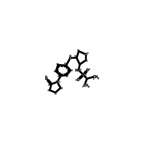 CC(C)S(=O)(=O)NC1COCC1Oc1ccc(N2CCCC2=O)cc1